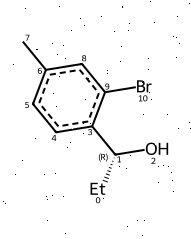 CC[C@@H](O)c1ccc(C)cc1Br